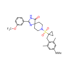 CNc1cc(C)c(CC2(S(=O)(=O)N3CCC4(CC3)N=C(c3cccc(OC(F)(F)F)c3)NC4=O)CC2)c(C)c1